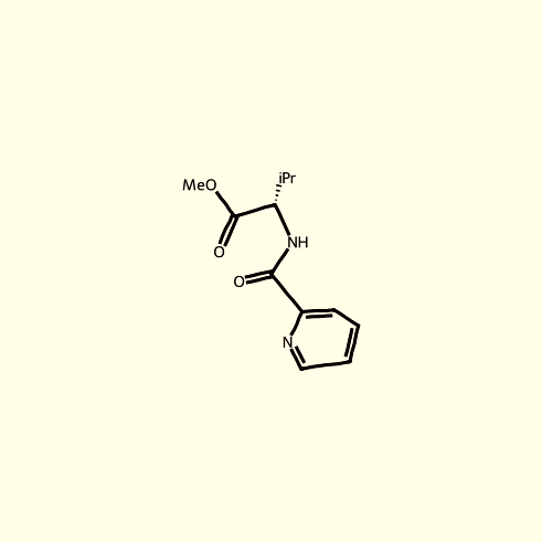 COC(=O)[C@@H](NC(=O)c1ccccn1)C(C)C